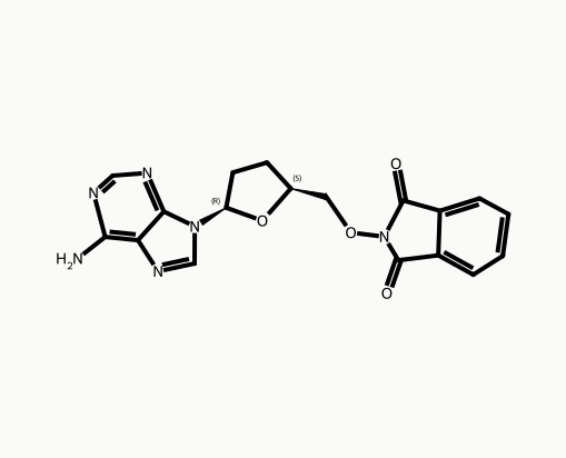 Nc1ncnc2c1ncn2[C@H]1CC[C@@H](CON2C(=O)c3ccccc3C2=O)O1